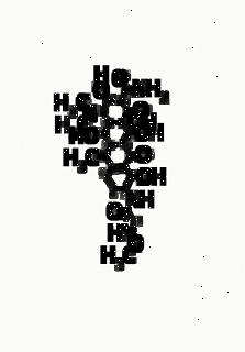 CONCC(=O)Nc1ccc2c(c1O)C(=O)C1=C(O)C3(O)C(=O)C(C(N)=O)=C(O)[C@@H](N(C)C)C3C(O)C1C2C